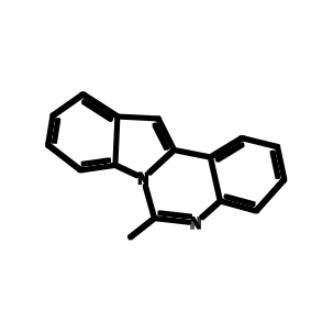 Cc1nc2ccccc2c2cc3ccccc3n12